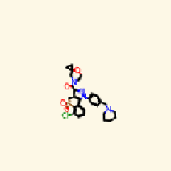 O=C(c1nn(-c2ccc(CN3CCCCC3)cc2)c2c1CS(=O)(=O)c1c(Cl)cccc1-2)N1CCOC2(CC2)C1